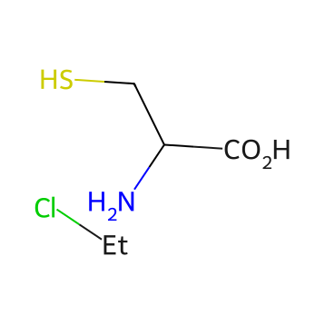 CCCl.NC(CS)C(=O)O